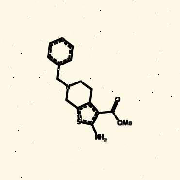 COC(=O)c1c(N)sc2c1CCN(Cc1ccccc1)C2